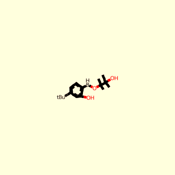 CC(C)(C)c1ccc(BOC(C)(C)C(C)(C)O)c(O)c1